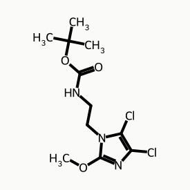 COc1nc(Cl)c(Cl)n1CCNC(=O)OC(C)(C)C